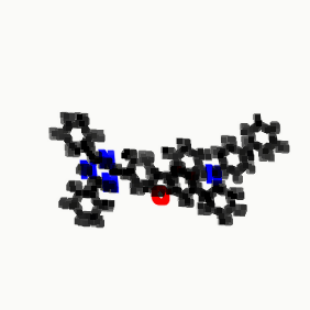 c1ccc(-c2ccc(N(c3ccccc3)c3ccccc3-c3ccc4c(c3)oc3cc(-c5nc(-c6ccccc6)nc(-c6ccccc6)n5)ccc34)cc2)cc1